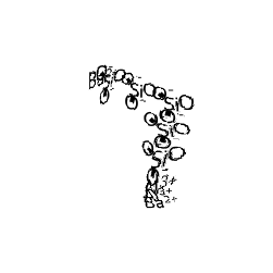 O=[Si]([O-])[O-].O=[Si]([O-])[O-].O=[Si]([O-])[O-].O=[Si]([O-])[O-].O=[Si]([O-])[O-].[Al+3].[Al+3].[Ba+2].[Ba+2]